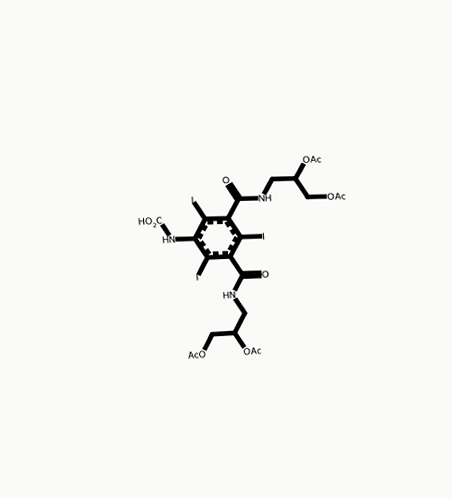 CC(=O)OCC(CNC(=O)c1c(I)c(NC(=O)O)c(I)c(C(=O)NCC(COC(C)=O)OC(C)=O)c1I)OC(C)=O